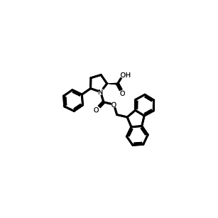 O=C(O)[C@@H]1CCC(c2ccccc2)N1C(=O)OCC1c2ccccc2-c2ccccc21